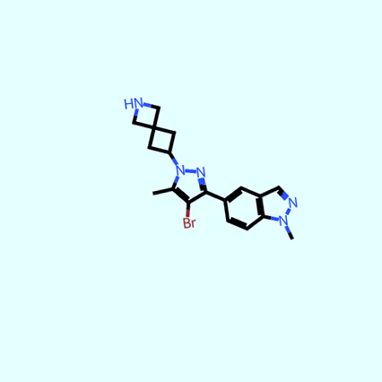 Cc1c(Br)c(-c2ccc3c(cnn3C)c2)nn1C1CC2(CNC2)C1